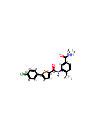 CNC(=O)c1ccc(C)c(NC(=O)c2ccc(-c3ccc(Cl)cc3)s2)c1